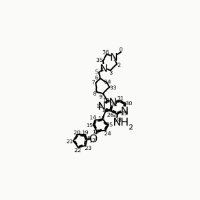 CN1CCN(CC2CCC(c3nc(-c4ccc(Oc5ccccc5)cc4)c4c(N)nccn34)CC2)CC1